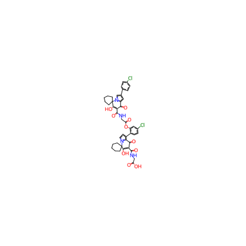 O=C(O)CNC(=O)C1=C(O)C2(CCCCC2)n2ccc(-c3ccc(Cl)cc3OC(=O)CNC(=O)C3=C(O)C4(CCCCC4)n4cc(-c5ccc(Cl)cc5)cc4C3=O)c2C1=O